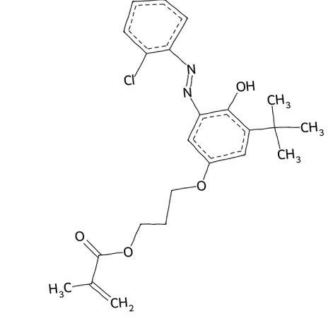 C=C(C)C(=O)OCCCOc1cc(N=Nc2ccccc2Cl)c(O)c(C(C)(C)C)c1